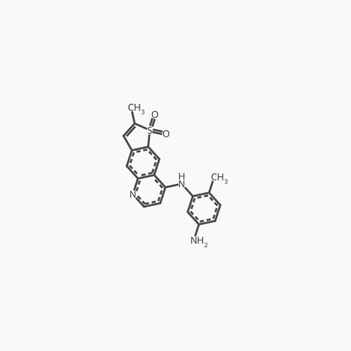 CC1=Cc2cc3nccc(Nc4cc(N)ccc4C)c3cc2S1(=O)=O